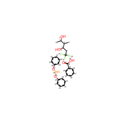 CC(O)C(C)C(O)CC(F)(F)F.O=C(O)c1ccccc1.c1ccc(OPOc2ccccc2)cc1